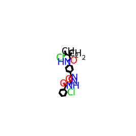 C=C(Cl)C(=C)C(=O)Nc1ccc(-c2nnc(NC(=O)c3ccccc3Cl)o2)cc1